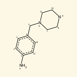 Nc1ccc(CN2CC[N]CC2)cc1